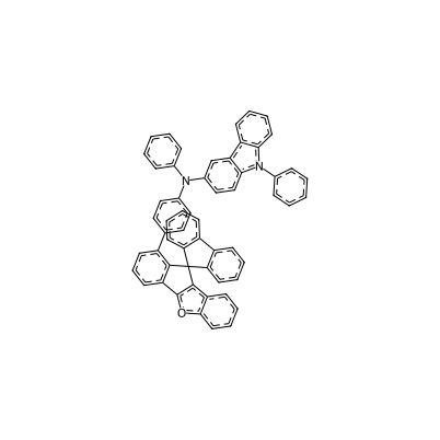 c1ccc(N(c2ccc(-c3cccc4c3C3(c5ccccc5-c5ccccc53)c3c-4oc4ccccc34)cc2)c2ccc3c(c2)c2ccccc2n3-c2ccccc2)cc1